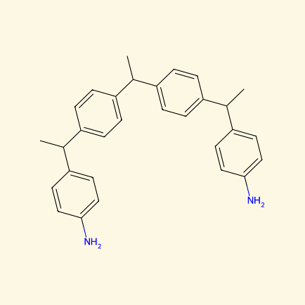 CC(c1ccc(N)cc1)c1ccc(C(C)c2ccc(C(C)c3ccc(N)cc3)cc2)cc1